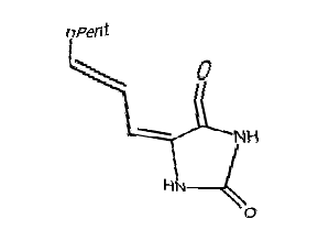 CCCCCC=CC=C1NC(=O)NC1=O